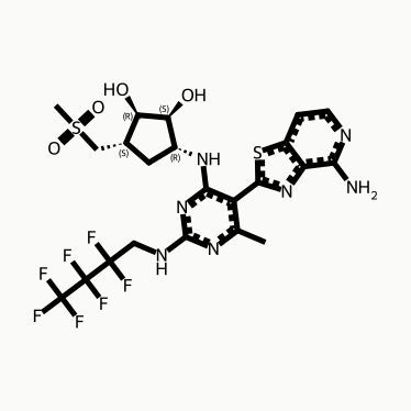 Cc1nc(NCC(F)(F)C(F)(F)C(F)(F)F)nc(N[C@@H]2C[C@H](CS(C)(=O)=O)[C@@H](O)[C@H]2O)c1-c1nc2c(N)nccc2s1